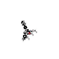 CCOC(=O)c1cn(-c2ccc(-c3cn4ccsc4n3)cc2)nc1N(C(=O)[C@H]1CC[C@H](C(F)(F)F)CC1)C(C)C